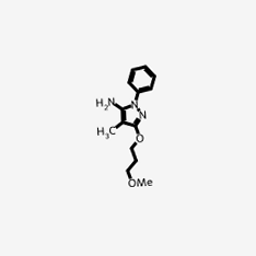 COCCCOc1nn(-c2ccccc2)c(N)c1C